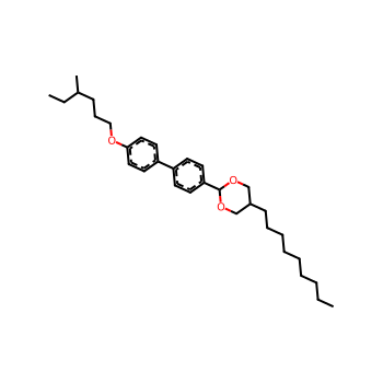 CCCCCCCCCC1COC(c2ccc(-c3ccc(OCCCC(C)CC)cc3)cc2)OC1